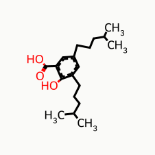 CC(C)CCCc1cc(CCCC(C)C)c(O)c(C(=O)O)c1